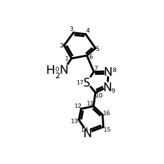 Nc1ccccc1-c1nnc(-c2ccncc2)s1